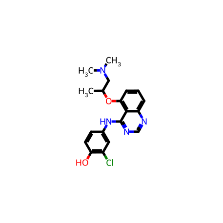 CC(CN(C)C)Oc1cccc2ncnc(Nc3ccc(O)c(Cl)c3)c12